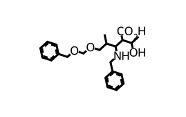 CC(O)C(C(=O)O)C(NCc1ccccc1)C(C)COCOCc1ccccc1